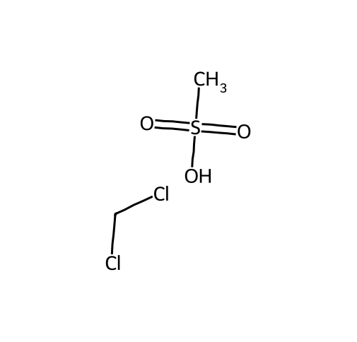 CS(=O)(=O)O.ClCCl